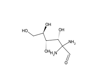 NC(N)(C=O)[C@@H](O)[C@H](O)[C@H](O)CO